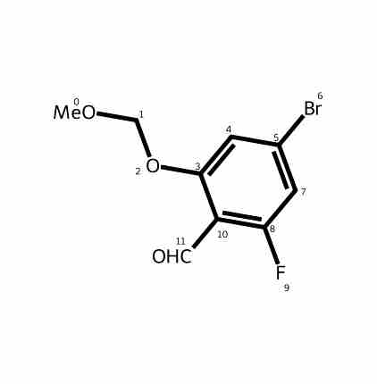 COCOc1cc(Br)cc(F)c1C=O